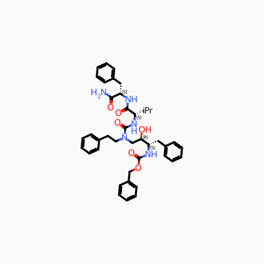 CC(C)[C@H](NC(=O)N(CCc1ccccc1)C[C@@H](O)[C@H](Cc1ccccc1)NC(=O)OCc1ccccc1)C(=O)N[C@@H](Cc1ccccc1)C(N)=O